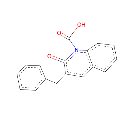 O=C(O)n1c(=O)c(Cc2ccccc2)cc2ccccc21